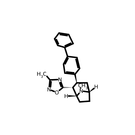 Cc1noc([C@@H]2[C@@H](c3ccc(-c4ccccc4)cc3)C[C@@H]3CC[C@H]2N3C)n1